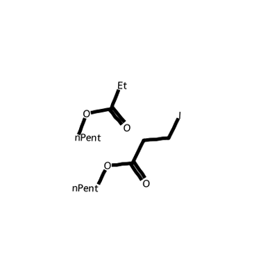 CCCCCOC(=O)CC.CCCCCOC(=O)CCI